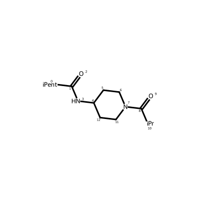 CCCC(C)C(=O)NC1CCN(C(=O)C(C)C)CC1